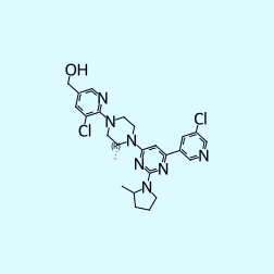 CC1CCCN1c1nc(-c2cncc(Cl)c2)cc(N2CCN(c3ncc(CO)cc3Cl)C[C@H]2C)n1